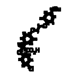 CC(C)(C)c1ccc(OCCOc2ccc(C(C)(Oc3ccc(Cl)cc3)C(=O)O)cc2)cc1